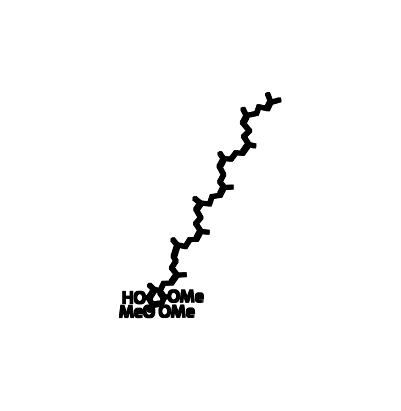 COc1c(O)c(C)c(CC=C(C)CCC=C(C)CCC=C(C)CCC=C(C)CCC=C(C)CCC=C(C)CCC=C(C)CCC=C(C)CCC=C(C)C)c(OC)c1OC